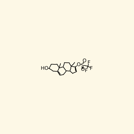 CC12CCC(O)CC1=CCC1C2CCC2(C)C(OS(=O)(=O)C(F)(F)F)=CCC12